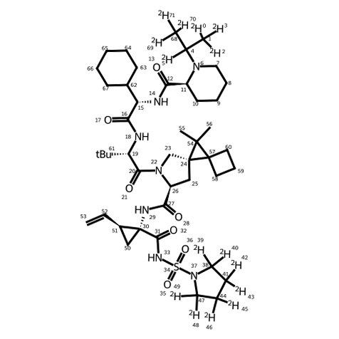 [2H]C([2H])([2H])C([2H])(N1CCCC[C@H]1C(=O)N[C@H](C(=O)N[C@H](C(=O)N1C[C@]2(C[C@H]1C(=O)N[C@]1(C(=O)NS(=O)(=O)N3C([2H])([2H])C([2H])([2H])C([2H])([2H])C3([2H])[2H])C[C@H]1C=C)C(C)(C)C21CCC1)C(C)(C)C)C1CCCCC1)C([2H])([2H])[2H]